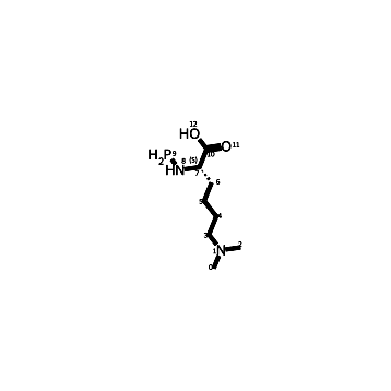 CN(C)CCCC[C@H](NP)C(=O)O